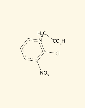 CC(=O)O.O=[N+]([O-])c1cccnc1Cl